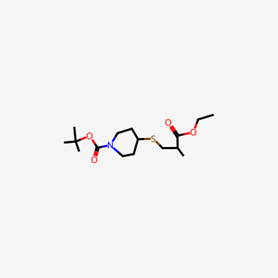 CCOC(=O)C(C)CSC1CCN(C(=O)OC(C)(C)C)CC1